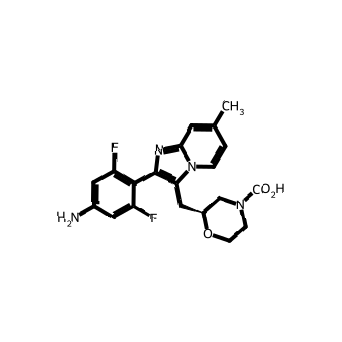 Cc1ccn2c(C[C@H]3CN(C(=O)O)CCO3)c(-c3c(F)cc(N)cc3F)nc2c1